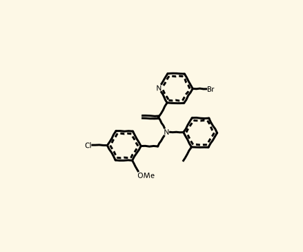 C=C(c1cc(Br)ccn1)N(Cc1ccc(Cl)cc1OC)c1ccccc1C